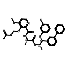 COc1ccnc(C(=O)N[C@@H](C)C(=O)O[C@@H](C)[C@H](Oc2cccc(F)c2)c2cccc(-c3ccccc3)c2)c1OCOC(C)=O